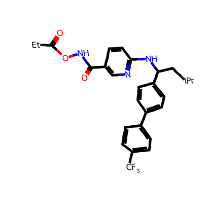 CCC(=O)ONC(=O)c1ccc(NC(CC(C)C)c2ccc(-c3ccc(C(F)(F)F)cc3)cc2)nc1